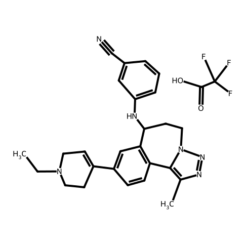 CCN1CC=C(c2ccc3c(c2)C(Nc2cccc(C#N)c2)CCn2nnc(C)c2-3)CC1.O=C(O)C(F)(F)F